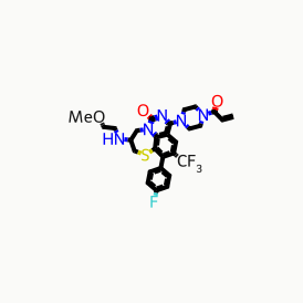 C=CC(=O)N1CCN(c2nc(=O)n3c4c(c(-c5ccc(F)cc5)c(C(F)(F)F)cc24)SCC(NCCOC)C3)CC1